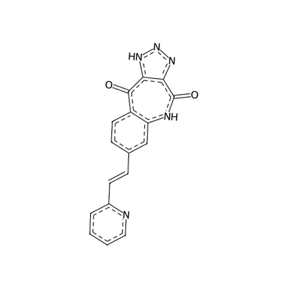 O=c1[nH]c2cc(C=Cc3ccccn3)ccc2c(=O)c2[nH]nnc12